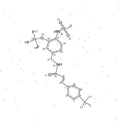 CC(C)(C)c1ccc(C=CC(=O)NCc2ccc(NS(C)(=O)=O)c(OC(F)(F)F)c2)cc1